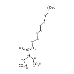 CCCCCCCCCCCCCCCCCCOC(=S)C(CC(=O)O)CC(=O)O